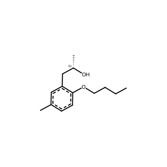 CCCCOc1ccc(C)cc1C[C@H](C)O